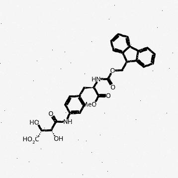 COC(=O)[C@@H](Cc1ccc(NC(=O)[C@H](O)[C@@H](O)C(=O)O)cc1)NC(=O)OCC1c2ccccc2-c2ccccc21